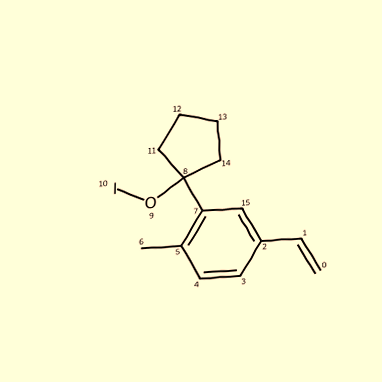 C=Cc1ccc(C)c(C2(OI)CCCC2)c1